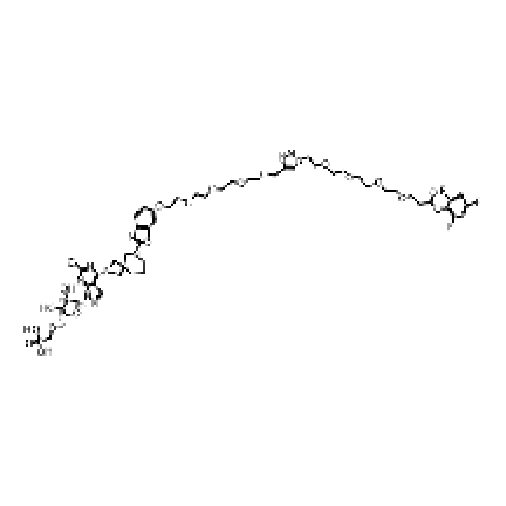 O=C(CCOCCOCCOCCOCCn1cc(COCCOCCOCCOCCOc2ccc3nc(N4CCCC5(C4)CN(c4nc(Cl)nc6c4cnn6[C@@H]4O[C@H](COCP(=O)(O)O)[C@@H](O)[C@H]4O)C5)sc3c2)nn1)Oc1c(F)cc(F)cc1F